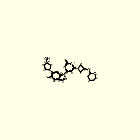 Cc1nc(N2CC(OC3CCCCO3)C2)cc(-n2ncc3cc(C)c(N4CC[C@@H](O)C4)cc32)n1